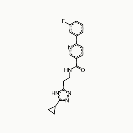 O=C(NCCc1nnc(C2CC2)[nH]1)c1ccc(-c2cccc(F)c2)nc1